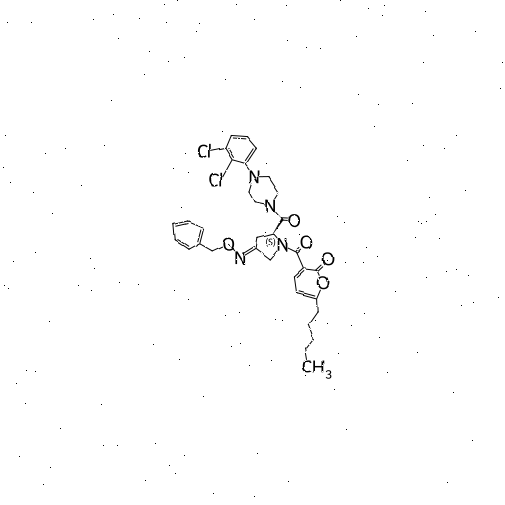 CCCCCc1ccc(C(=O)N2CC(=NOCc3ccccc3)C[C@H]2C(=O)N2CCN(c3cccc(Cl)c3Cl)CC2)c(=O)o1